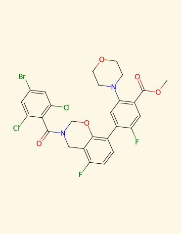 COC(=O)c1cc(F)c(-c2ccc(F)c3c2OCN(C(=O)c2c(Cl)cc(Br)cc2Cl)C3)cc1N1CCOCC1